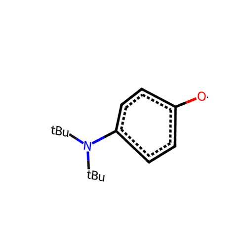 CC(C)(C)N(c1ccc([O])cc1)C(C)(C)C